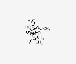 CCOC(OCC)(C(=O)OC(C)(C)C)P(=O)(O)O